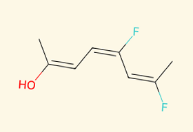 C\C(O)=C/C=C(F)\C=C(/C)F